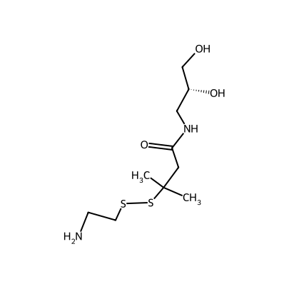 CC(C)(CC(=O)NC[C@@H](O)CO)SSCCN